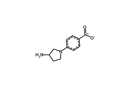 NC1CCN(c2ccc([N+](=O)[O-])cc2)C1